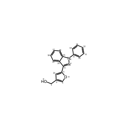 OCc1coc(-c2nn(-c3ccccc3)c3ccccc23)c1